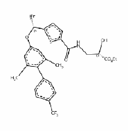 CCOC(=O)[C@@H](O)CNC(=O)c1ccc([C@H](Oc2cc(C)c(-c3ccc(C(F)(F)F)cc3)c(C)c2)C(C)C)s1